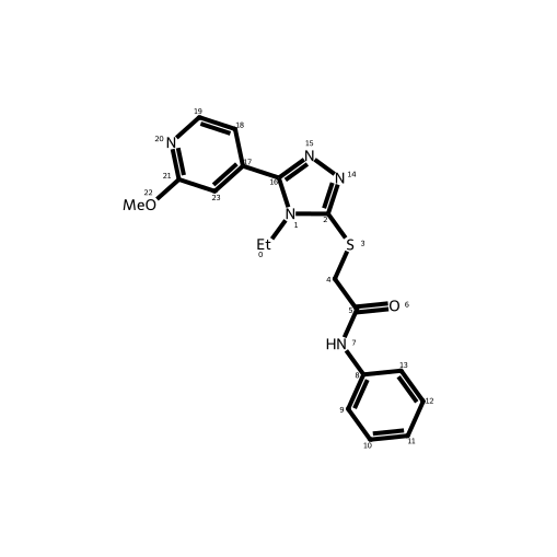 CCn1c(SCC(=O)Nc2ccccc2)nnc1-c1ccnc(OC)c1